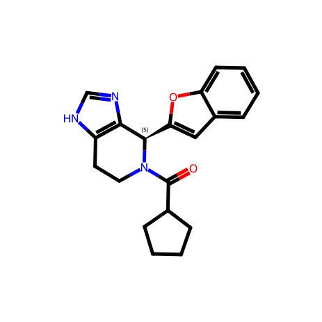 O=C(C1CCCC1)N1CCc2[nH]cnc2[C@H]1c1cc2ccccc2o1